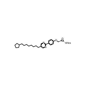 CCCCCC[C@H]1O[C@@H]1COc1ccc(-c2ncc(CCCCCCCCC3CCCC3)cn2)cc1